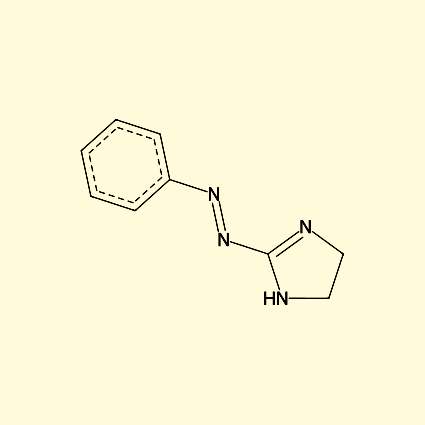 c1ccc(N=NC2=NCCN2)cc1